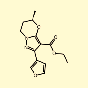 CCOC(=O)c1c(-c2ccoc2)nn2c1O[C@H](C)CC2